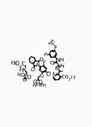 C/C(=N\NC(=O)Nc1cc(F)cc(F)c1)c1ncccc1C(=O)O.CCCCCOC(=O)COc1cc(N2C(=O)C3=C(CCCC3)C2=O)c(F)cc1Cl.C[S+](C)C.O=C(O)CNCP(=O)([O-])O